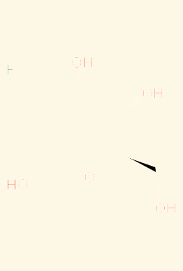 OC[C@H]1OC(O)C(CF)C(O)[C@@H]1O